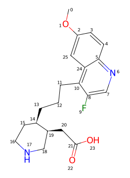 COc1ccc2ncc(F)c(CCC[C@@H]3CCNC[C@@H]3CC(=O)O)c2c1